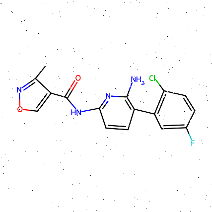 Cc1nocc1C(=O)Nc1ccc(-c2cc(F)ccc2Cl)c(N)n1